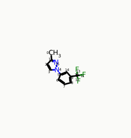 Cc1ccn(-c2cccc(C(F)(F)F)c2)n1